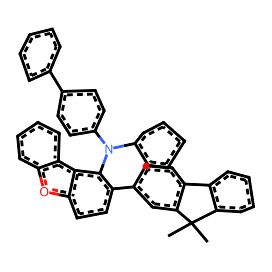 CC1(C)c2ccccc2-c2ccc(-c3ccc4oc5ccccc5c4c3N(c3ccccc3)c3ccc(-c4ccccc4)cc3)cc21